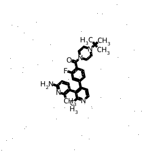 Cc1nc(N)ccc1-c1c(-c2ccc(C(=O)N3CCN(C(C)(C)C)CC3)c(F)c2)ccnc1C